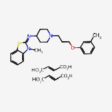 Cc1cccc(OCCCN2CCC(N=c3sc4ccccc4n3C)CC2)c1.O=C(O)C=CC(=O)O.O=C(O)C=CC(=O)O